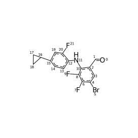 O=Cc1cc(Br)c(F)c(F)c1Nc1ccc(C2CC2)cc1F